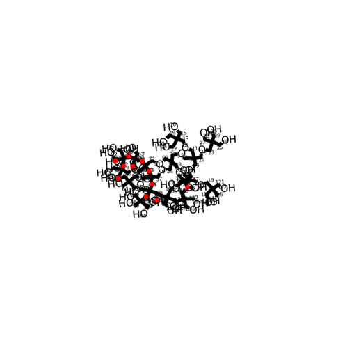 OCC(CO)(CO)COCC(COCC(CO)(CO)CO)(COCC(CO)(CO)CO)COCC(COCC(COCC(CO)(CO)CO)(COCC(CO)(CO)CO)COCC(CO)(CO)CO)(COCC(COCC(CO)(CO)CO)(COCC(CO)(CO)CO)COCC(CO)(CO)CO)COCC(COCC(CO)(CO)CO)(COCC(CO)(CO)CO)OCC(CO)(CO)CO